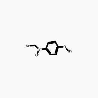 CC(=O)C[S+]([O-])c1ccc(OC(C)C)cc1